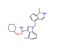 CC1NC=Cc2c(Cn3cc(C(=O)N[C@H]4CCCC[C@@H]4O)c4c(F)cccc43)cccc21